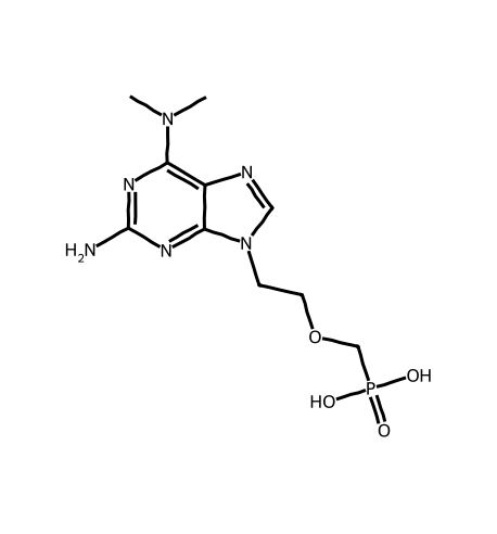 CN(C)c1nc(N)nc2c1ncn2CCOCP(=O)(O)O